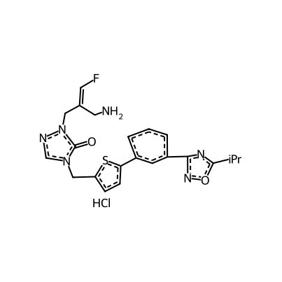 CC(C)c1nc(-c2cccc(-c3ccc(Cn4cnn(C/C(=C/F)CN)c4=O)s3)c2)no1.Cl